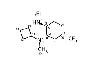 CCN[C@H]1CC[C@H](C(F)(F)F)C[C@@H]1N(C)C1CCC1